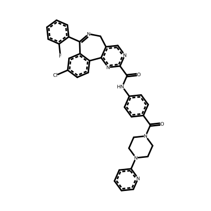 O=C(Nc1ccc(C(=O)N2CCN(c3ccccn3)CC2)cc1)c1ncc2c(n1)-c1ccc(Cl)cc1C(c1ccccc1F)=NC2